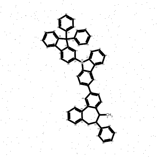 CC1c2ccc(-c3ccc4c(c3)c3ccccc3n4-c3ccc4c(c3)C(c3ccccc3)(c3ccccc3)c3ccccc3-4)cc2-c2ccccc2CC1c1ccccc1